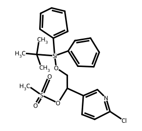 CC(C)(C)[Si](OCC(OS(C)(=O)=O)c1ccc(Cl)nc1)(c1ccccc1)c1ccccc1